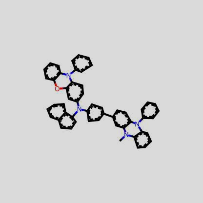 CN1c2ccccc2N(c2ccccc2)c2ccc(-c3ccc(N(c4ccc5c(c4)Oc4ccccc4N5c4ccccc4)c4cccc5ccccc45)cc3)cc21